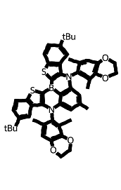 Cc1cc2c3c(c1)N(c1c(C)cc4c(c1C)OCCO4)c1c(sc4ccc(C(C)(C)C)cc14)B3c1sc3ccc(C(C)(C)C)cc3c1N2c1c(C)cc2c(c1C)OCCO2